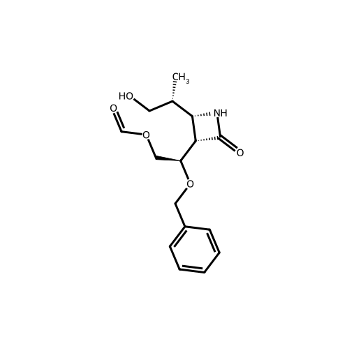 C[C@@H](CO)[C@@H]1NC(=O)[C@@H]1[C@H](COC=O)OCc1ccccc1